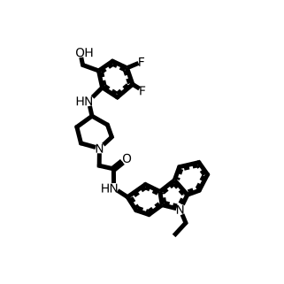 CCn1c2ccccc2c2cc(NC(=O)CN3CCC(Nc4cc(F)c(F)cc4CO)CC3)ccc21